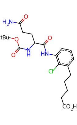 CC(C)(C)OC(=O)NC(CCC(N)=O)C(=O)Nc1cccc(CCCCC(=O)O)c1Cl